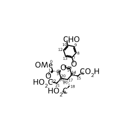 COC(=O)[C@@H]1O[C@H](Oc2ccc(C=O)cc2)[C@@H](CC(=O)O)[C@H](CC(=O)O)[C@H]1CC(=O)O